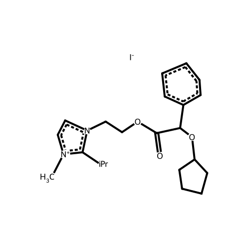 CC(C)c1n(CCOC(=O)C(OC2CCCC2)c2ccccc2)cc[n+]1C.[I-]